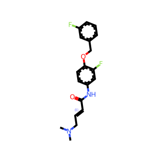 CN(C)C/C=C/C(=O)Nc1ccc(OCc2cccc(F)c2)c(F)c1